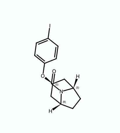 O=CN1[C@@H]2CC[C@H]1C[C@H](Oc1ccc(I)cc1)C2